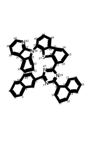 c1ccc2cc(-c3nc(-c4cccc5ccccc45)nc(-c4cccc5c4sc4c(-n6c7ccccc7c7cccnc76)cccc45)n3)ccc2c1